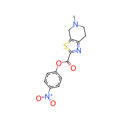 CN1CCc2nc(C(=O)Oc3ccc([N+](=O)[O-])cc3)sc2C1